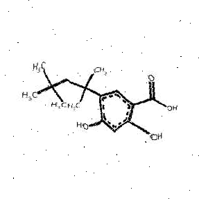 CC(C)(C)CC(C)(C)c1cc(C(=O)O)c(O)cc1O